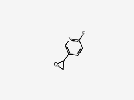 Fc1ccc(C2CO2)cn1